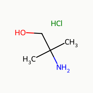 CC(C)(N)CO.Cl